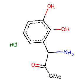 COC(=O)C(N)c1cccc(O)c1O.Cl